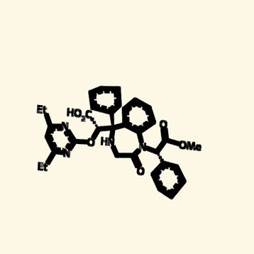 CCc1cc(CC)nc(O[C@H](C(=O)O)[C@@]2(c3ccccc3)NCC(=O)N([C@H](C(=O)OC)c3ccccc3)c3ccccc32)n1